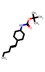 CCCC=CC1CCC(NC(=O)OC(C)(C)C)CC1